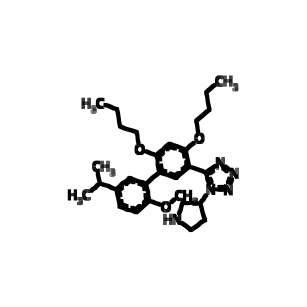 CCCCOc1cc(OCCCC)c(-c2nnnn2C2CCNC2)cc1-c1cc(C(C)C)ccc1OC